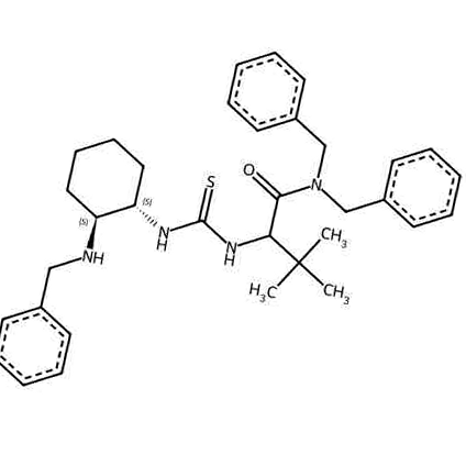 CC(C)(C)C(NC(=S)N[C@H]1CCCC[C@@H]1NCc1ccccc1)C(=O)N(Cc1ccccc1)Cc1ccccc1